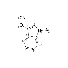 CC(=O)n1cc(OC#N)c2ccccc21